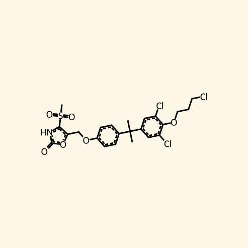 CC(C)(c1ccc(OCc2oc(=O)[nH]c2S(C)(=O)=O)cc1)c1cc(Cl)c(OCCCCl)c(Cl)c1